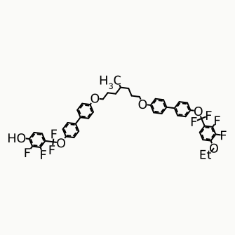 CCOc1ccc(C(F)(F)Oc2ccc(-c3ccc(OCCCC(C)CCCOc4ccc(-c5ccc(OC(F)(F)c6ccc(O)c(F)c6F)cc5)cc4)cc3)cc2)c(F)c1F